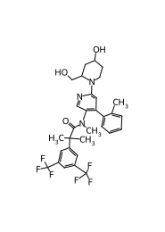 Cc1ccccc1-c1cc(N2CCC(O)CC2CO)ncc1N(C)C(=O)C(C)(C)c1cc(C(F)(F)F)cc(C(F)(F)F)c1